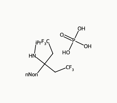 CCCCCCCCCC(CC(F)(F)F)(CC(F)(F)F)NC(C)C.O=P(O)(O)O